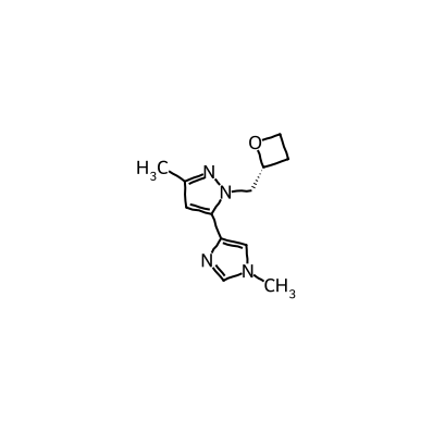 Cc1cc(-c2cn(C)cn2)n(C[C@H]2CCO2)n1